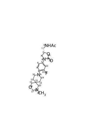 CC(=O)NC[C@H]1CN(c2ccc(N3CCC4(CC3)COCN(C)C4)c(F)c2)C(=O)O1